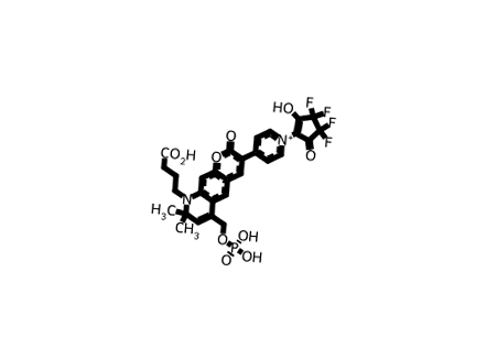 CC1(C)C=C(COP(=O)(O)O)c2cc3cc(-c4cc[n+](C5=C(O)C(F)(F)C(F)(F)C5=O)cc4)c(=O)oc3cc2N1CCCC(=O)O